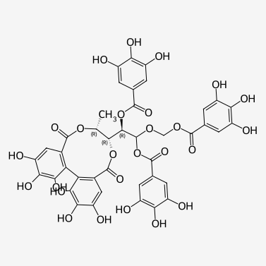 C[C@H]1OC(=O)c2cc(O)c(O)c(O)c2-c2c(cc(O)c(O)c2O)C(=O)O[C@H]1[C@@H](OC(=O)c1cc(O)c(O)c(O)c1)C(OCOC(=O)c1cc(O)c(O)c(O)c1)OC(=O)c1cc(O)c(O)c(O)c1